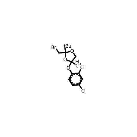 CC1(Oc2ccc(Cl)cc2Cl)COC(CBr)(C(C)(C)C)O1